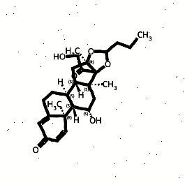 CCCC1OC2(C(=O)CO)[C@@](C)(C[C@H]3[C@@H]4CCC5=CC(=O)C=C[C@]5(C)[C@H]4[C@@H](O)C[C@@]32C)O1